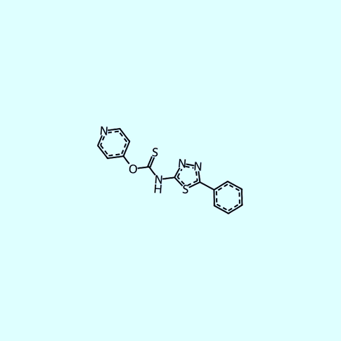 S=C(Nc1nnc(-c2ccccc2)s1)Oc1ccncc1